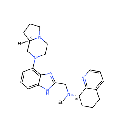 CCN(Cc1nc2c(N3CCN4CCC[C@@H]4C3)cccc2[nH]1)[C@H]1CCCc2cccnc21